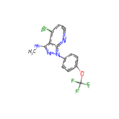 CNc1nn(-c2ccc(OC(F)(F)F)cc2)c2nccc(Br)c12